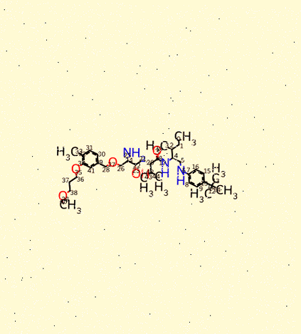 CC[C@H](C)[C@@H](CNc1ccc(C(C)(C)C)cc1)NC(=O)[C@@H](C[C@H](O)[C@@H](N)COCc1ccc(C)c(OCCCOC)c1)C(C)C